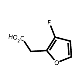 O=C(O)Cc1occc1F